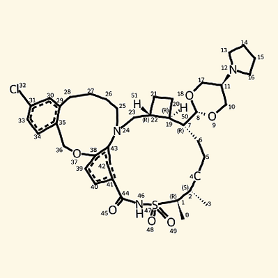 C[C@@H]1[C@@H](C)CCC[C@@H]([C@H]2OC[C@H](N3CCCC3)CO2)[C@@H]2CC[C@H]2CN2CCCCc3cc(Cl)ccc3COc3ccc(cc32)C(=O)NS1(=O)=O